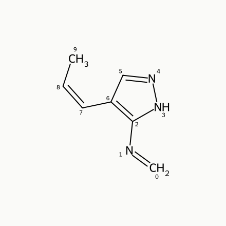 C=Nc1[nH]ncc1/C=C\C